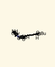 Cc1cc(N(C)C(N)=O)cc(C)c1/C=C/[S+]([O-])N1CCC2(CC1)N=C(CCCCCCCCCCCNC(=O)OC(C)(C)C)NC2=O